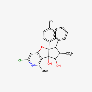 COc1nc(Cl)cc2c1C1(O)C(O)C(C(=O)O)C(c3ccccc3)C1(c1ccc(C(F)(F)F)cc1)O2